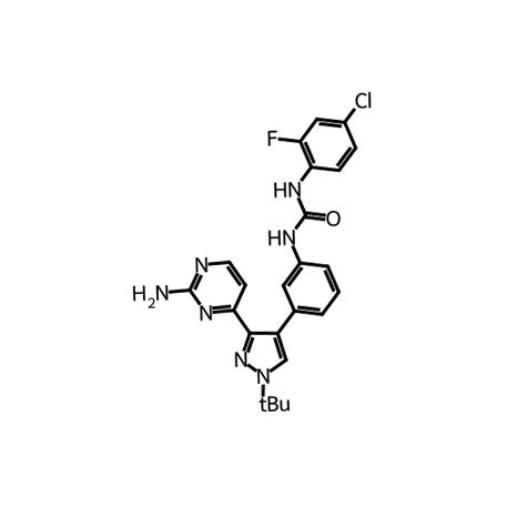 CC(C)(C)n1cc(-c2cccc(NC(=O)Nc3ccc(Cl)cc3F)c2)c(-c2ccnc(N)n2)n1